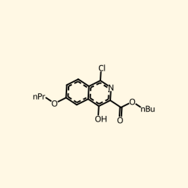 CCCCOC(=O)c1nc(Cl)c2ccc(OCCC)cc2c1O